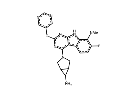 CNc1c(F)ccc2c1[nH]c1nc(Oc3cncnc3)nc(N3CC4C(N)C4C3)c12